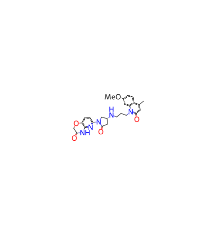 COc1ccc2c(C)cc(=O)n(CCCN[C@@H]3CC(=O)N(c4ccc5c(n4)NC(=O)CO5)C3)c2c1